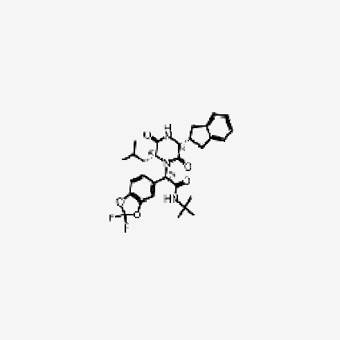 CC(C)C[C@@H]1C(=O)N[C@H](C2Cc3ccccc3C2)C(=O)N1[C@@H](C(=O)NC(C)(C)C)c1ccc2c(c1)OC(F)(F)O2